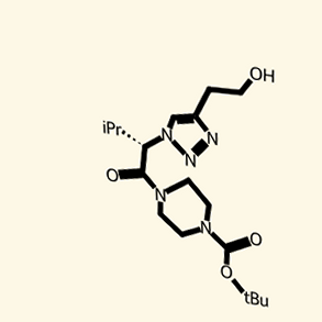 CC(C)[C@@H](C(=O)N1CCN(C(=O)OC(C)(C)C)CC1)n1cc(CCO)nn1